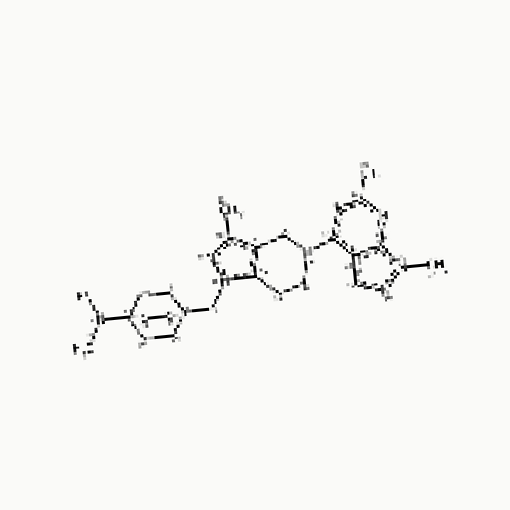 CCN(C)C12CCC(Cn3nc(C)c4c3CCN(c3cc(C)nc5c3cnn5C)C4)(CC1)CC2